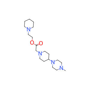 CN1CCN(C2CCN(CC(=O)OCCN3CCCCC3)CC2)CC1